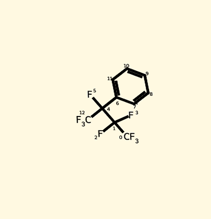 FC(F)(F)C(F)(F)C(F)(c1[c]cccc1)C(F)(F)F